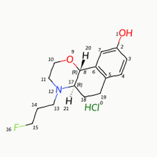 Cl.Oc1ccc2c(c1)[C@H]1OCCN(CCCF)[C@@H]1CC2